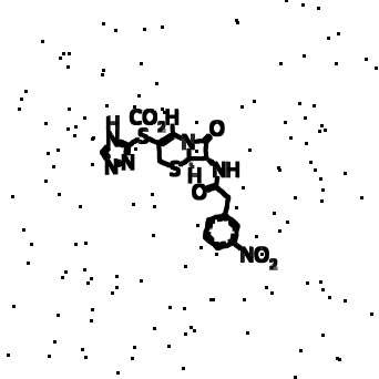 O=C(Cc1cccc([N+](=O)[O-])c1)N[C@@H]1C(=O)N2C(C(=O)O)=C(Sc3nnc[nH]3)CS[C@H]12